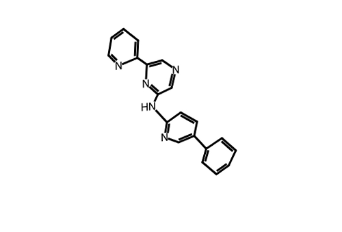 c1ccc(-c2ccc(Nc3cncc(-c4ccccn4)n3)nc2)cc1